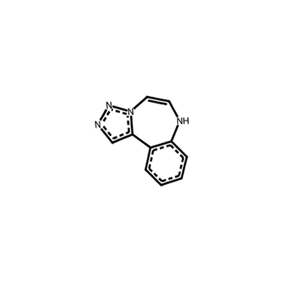 C1=Cn2nncc2-c2ccccc2N1